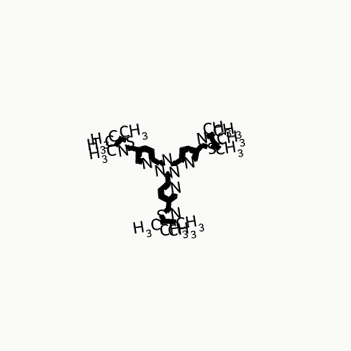 CC1(C)N=C(c2ccc(-c3nc(-c4ccc(C5=NC(C)(C)C(C)(C)S5)cn4)nc(-c4ccc(C5=NC(C)(C)C(C)(C)S5)cn4)n3)nc2)SC1(C)C